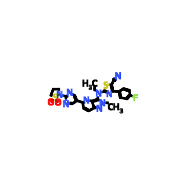 CCN(c1nc(-c2ccc(F)cc2)c(C#N)s1)c1c2nc(-c3cnc(N4CCCS4(=O)=O)nc3)ccc2nn1CC